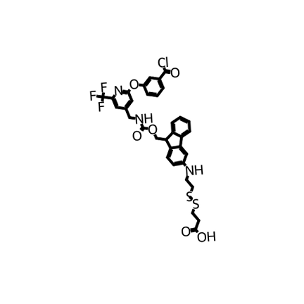 O=C(O)CCSSCCNc1ccc2c(c1)-c1ccccc1C2COC(=O)NCc1cc(Oc2cccc(C(=O)Cl)c2)nc(C(F)(F)F)c1